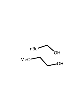 CCCCCO.[CH2]OCCO